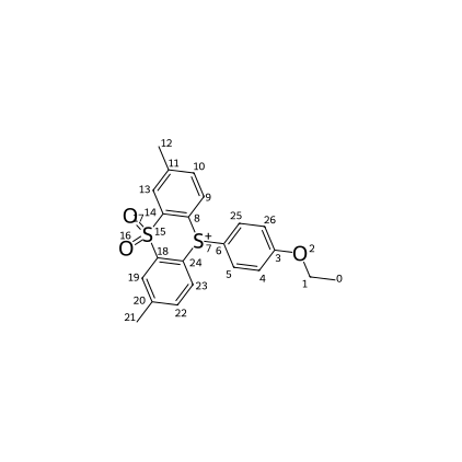 CCOc1ccc([S+]2c3ccc(C)cc3S(=O)(=O)c3cc(C)ccc32)cc1